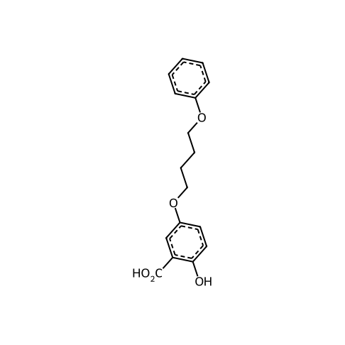 O=C(O)c1cc(OCCCCOc2ccccc2)ccc1O